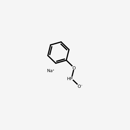 [Na+].[O-]POc1ccccc1